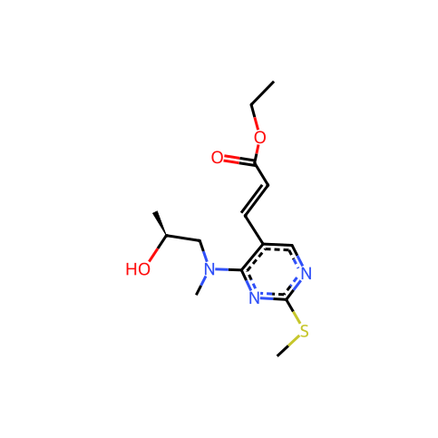 CCOC(=O)/C=C/c1cnc(SC)nc1N(C)C[C@H](C)O